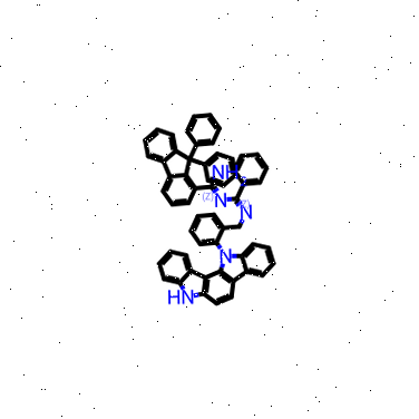 N/C(=N\C(=N/Cc1ccccc1-n1c2ccccc2c2ccc3[nH]c4ccccc4c3c21)c1ccccc1)c1cccc2c1C(c1ccccc1)(c1ccccc1)c1ccccc1-2